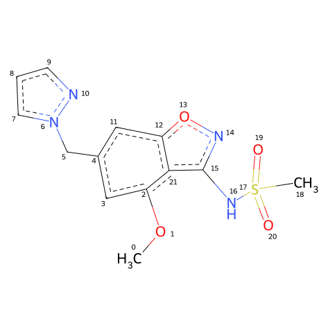 COc1cc(Cn2cccn2)cc2onc(NS(C)(=O)=O)c12